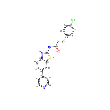 O=C(CSc1ccc(Cl)cc1)Nc1nc2ccc(-c3ccncc3)cc2s1